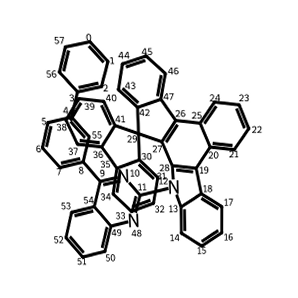 c1ccc(-c2cccc(-c3nc(-n4c5ccccc5c5c6ccccc6c6c(c54)C4(c5ccccc5-c5ccccc54)c4ccccc4-6)nc4ccccc34)c2)cc1